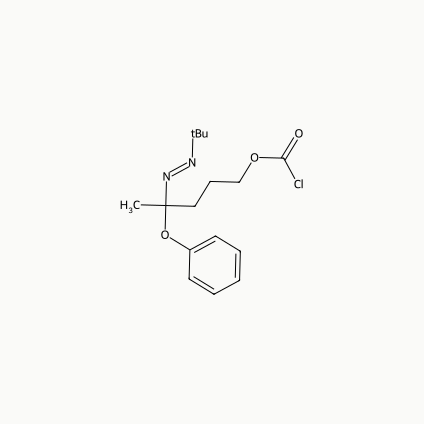 CC(C)(C)N=NC(C)(CCCOC(=O)Cl)Oc1ccccc1